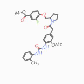 COC(=O)c1ccc(OCC2CCCN2C(=O)Cc2ccc(NC(=O)Nc3ccccc3C)c(OC)c2)c(F)c1